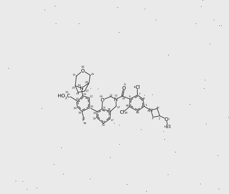 CCOC1CN(c2cc(Cl)c(C(=O)N3COc4c(cccc4-c4cc(N5C6CCC5COC6)c(C(=O)O)cc4F)C3)c(Cl)c2)C1